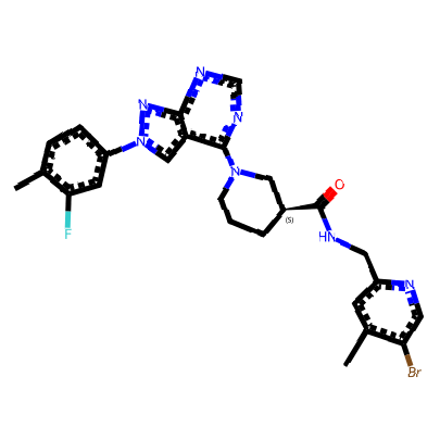 Cc1ccc(-n2cc3c(N4CCC[C@H](C(=O)NCc5cc(C)c(Br)cn5)C4)ncnc3n2)cc1F